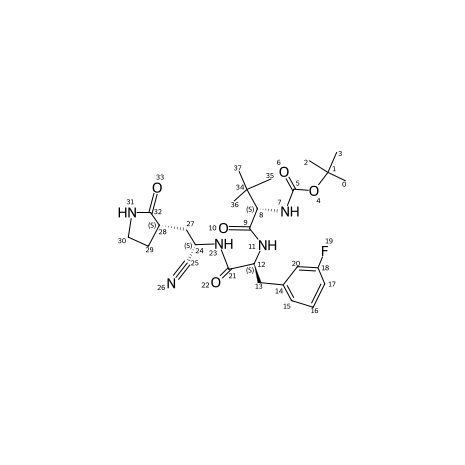 CC(C)(C)OC(=O)N[C@H](C(=O)N[C@@H](Cc1cccc(F)c1)C(=O)N[C@H](C#N)C[C@@H]1CCNC1=O)C(C)(C)C